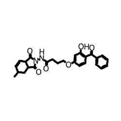 CC1C=CC2C(=O)N(NC(=O)CCCOc3ccc(C(=O)c4ccccc4)c(O)c3)C(=O)C2C1